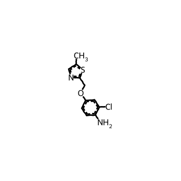 Cc1cnc(COc2ccc(N)c(Cl)c2)s1